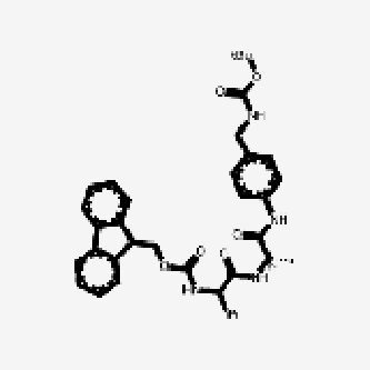 CC(C)C(NC(=O)OCC1c2ccccc2-c2ccccc21)C(=O)N[C@@H](C)C(=O)Nc1ccc(CNC(=O)OC(C)(C)C)cc1